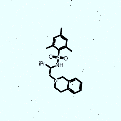 Cc1cc(C)c(S(=O)(=O)NC(CN2CCc3ccccc3C2)C(C)C)c(C)c1